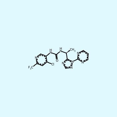 C[C@H](NC(=O)Nc1cnc(C(F)(F)F)cc1Cl)c1ncnn1-c1ncccn1